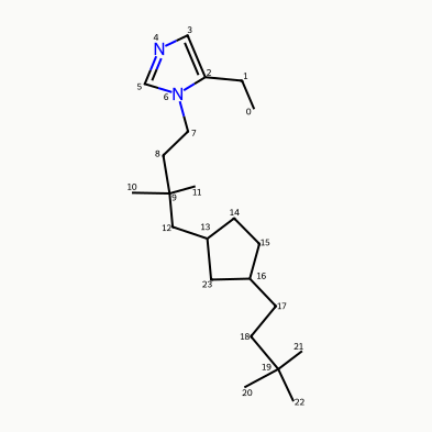 CCc1cncn1CCC(C)(C)CC1CCC(CCC(C)(C)C)C1